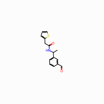 CC(NC(=O)Cc1cccs1)c1cccc(C=O)c1